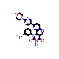 O=c1[nH]c(=O)n(-c2cccc(C(F)(F)F)c2)c2c1cnc1ccc(-c3cnc(N4CCOCC4)nc3)nc12